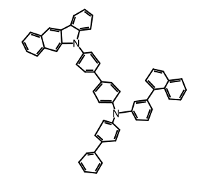 c1ccc(-c2ccc(N(c3ccc(-c4ccc(-n5c6ccccc6c6cc7ccccc7cc65)cc4)cc3)c3cccc(-c4cccc5ccccc45)c3)cc2)cc1